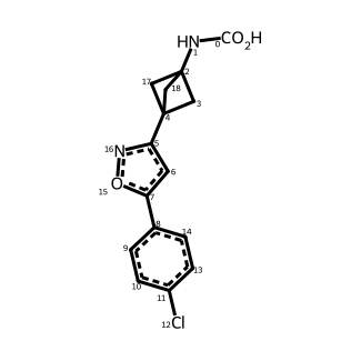 O=C(O)NC12CC(c3cc(-c4ccc(Cl)cc4)on3)(C1)C2